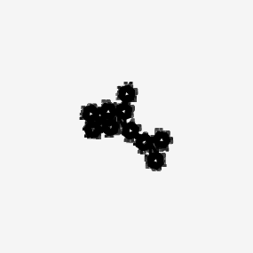 C1=C(c2ccc(N(c3ccc(-c4ccccc4)cc3)c3ccc4c(c3)C3(c5ccccc5-c5ccccc53)c3ccccc3-4)cc2)CCc2c1c1ccccc1n2-c1ccccc1